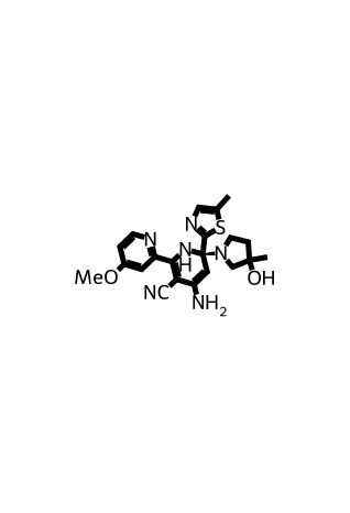 COc1ccnc(C2=C(C#N)C(N)=C[C@](c3ncc(C)s3)(N3CCC(C)(O)C3)N2)c1